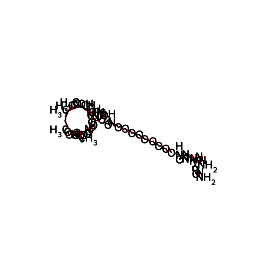 CO[C@H]1C[C@@H]2CC[C@@H](C)[C@@](O)(O2)C(=O)C(=O)N2CCCC[C@H]2C(=O)O[C@H]([C@H](N)C[C@@H]2CC[C@@H](OC(=O)NCCOCCOCCOCCOCCOCCOCCOCCOCCOCCNC(=O)c3ncc(Cn4nc(-c5ccc6oc(N)nc6c5)c5c(N)ncnc54)cn3)[C@H](OC)C2)C[C@@H](O)[C@H](C)/C=C(\C)[C@@H](O)[C@@H](OC)C(=O)[C@H](C)C[C@H](C)/C=C/C=C/C=C/1C